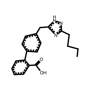 CCCCc1n[nH]c(Cc2ccc(-c3ccccc3C(=O)O)cc2)n1